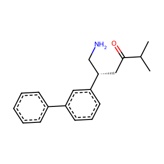 CC(C)C(=O)C[C@@H](CN)c1cccc(-c2ccccc2)c1